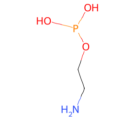 NCCOP(O)O